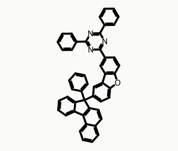 c1ccc(-c2nc(-c3ccccc3)nc(-c3ccc4oc5ccc(C6(c7ccccc7)c7ccccc7-c7c6ccc6ccccc76)cc5c4c3)n2)cc1